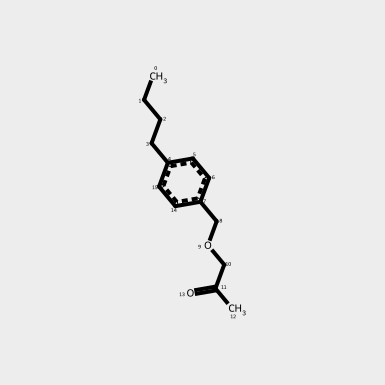 CCCCc1ccc(COCC(C)=O)cc1